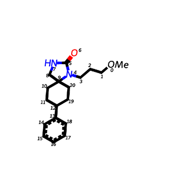 COCCCN1C(=O)NCC12CCC(c1ccccc1)CC2